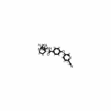 C[C@H]1[C@H](NC(=O)c2ccc(Oc3ccc(C#N)nc3)cc2)C2CCN1CC2